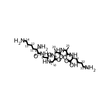 C[C@H](NC(=O)CNC(=O)[C@@H](N)CCCCN)C(=O)N[C@@H](C)C(=O)N[C@@H](C)C(=O)N[C@@H](CCCCN)C(=O)O